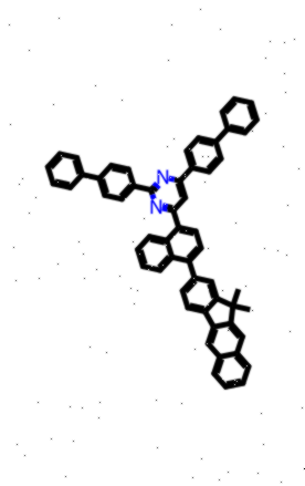 CC1(C)c2cc(-c3ccc(-c4cc(-c5ccc(-c6ccccc6)cc5)nc(-c5ccc(-c6ccccc6)cc5)n4)c4ccccc34)ccc2-c2cc3ccccc3cc21